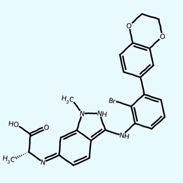 C[C@@H](N=c1ccc2c(Nc3cccc(-c4ccc5c(c4)OCCO5)c3Br)[nH]n(C)c-2c1)C(=O)O